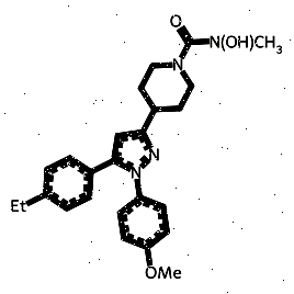 CCc1ccc(-c2cc(C3CCN(C(=O)N(C)O)CC3)nn2-c2ccc(OC)cc2)cc1